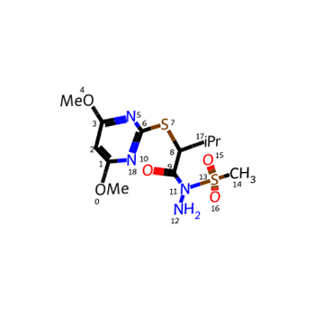 COc1cc(OC)nc(SC(C(=O)N(N)S(C)(=O)=O)C(C)C)n1